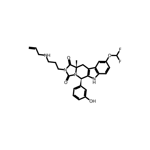 C=CCNCCCN1C(=O)N2[C@H](c3cccc(O)c3)c3[nH]c4ccc(OC(F)F)cc4c3C[C@@]2(C)C1=O